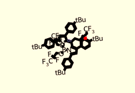 CC(C)(C)c1ccc(C2=CC(c3ccc(C(C)(C)C)cc3)=N/C2=C(/CCC(F)(F)CC(F)(F)F)c2c(-c3ccc(C(C)(C)C)cc3)cc(-c3ccc(C(C)(C)C)cc3)n2B(OCC(F)(F)C(F)(F)F)OCC(F)(F)C(F)(F)F)cc1